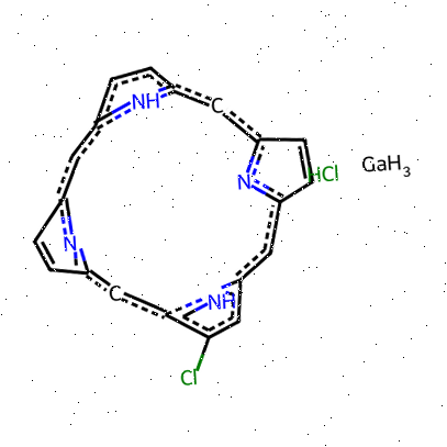 Cl.Clc1cc2cc3nc(cc4ccc(cc5nc(cc1[nH]2)C=C5)[nH]4)C=C3.[GaH3]